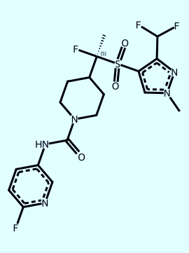 Cn1cc(S(=O)(=O)[C@](C)(F)C2CCN(C(=O)Nc3ccc(F)nc3)CC2)c(C(F)F)n1